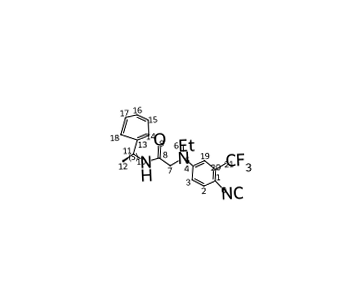 [C-]#[N+]c1ccc(N(CC)CC(=O)N[C@@H](C)c2ccccc2)cc1C(F)(F)F